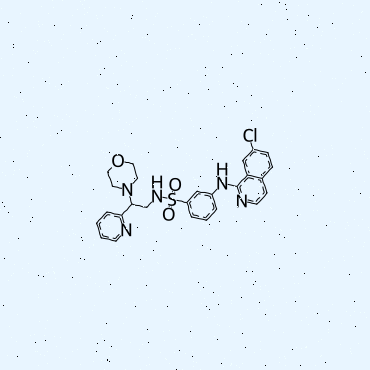 O=S(=O)(NCC(c1ccccn1)N1CCOCC1)c1cccc(Nc2nccc3ccc(Cl)cc23)c1